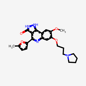 COc1cc2c(cc1OCCCN1CCCC1)nc(-c1ccc(C)o1)c1c(=O)[nH][nH]c12